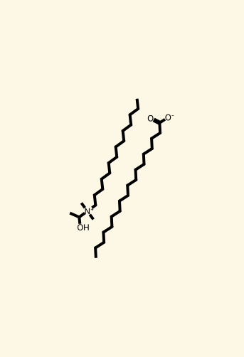 CCCCCCCCCCCCCCCCCC(=O)[O-].CCCCCCCCCCCCCC[N+](C)(C)C(C)O